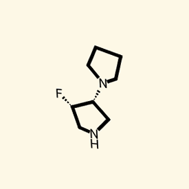 F[C@H]1CNC[C@H]1N1CCCC1